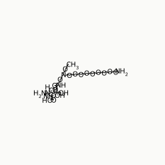 CCCOCCN(CCOCCNC(=O)CO[C@@H]([C@@H]1OC(C(=O)O)=C[C@H](NC(=N)N)[C@H]1C)[C@H](O)CO)CCOCCOCCOCCOCCOCCOCCOCCOCCON